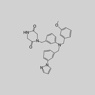 COc1cccc(CN(Cc2cccc(-n3cccn3)c2)c2cccc(CN3CC(=O)NCC3=O)c2)c1